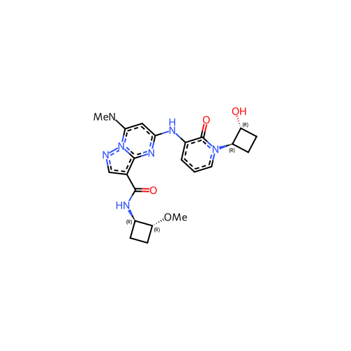 CNc1cc(Nc2cccn([C@@H]3CC[C@H]3O)c2=O)nc2c(C(=O)N[C@@H]3CC[C@H]3OC)cnn12